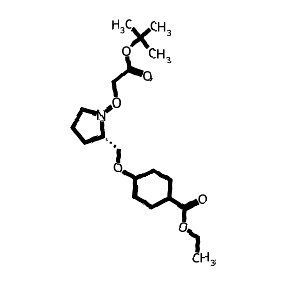 CCOC(=O)C1CCC(OC[C@@H]2CCCN2OCC(=O)OC(C)(C)C)CC1